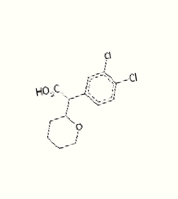 O=C(O)[C@H](c1ccc(Cl)c(Cl)c1)C1CCCCO1